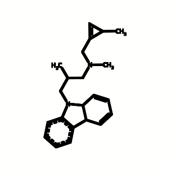 CC(CN(C)CC1=CC1C)CN1c2ccccc2C2C=CC=CC21